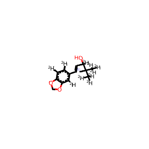 [2H]c1c([2H])c2c(c([2H])c1/C=C/C([2H])(O)C(C)(C([2H])([2H])[2H])C([2H])([2H])[2H])OCO2